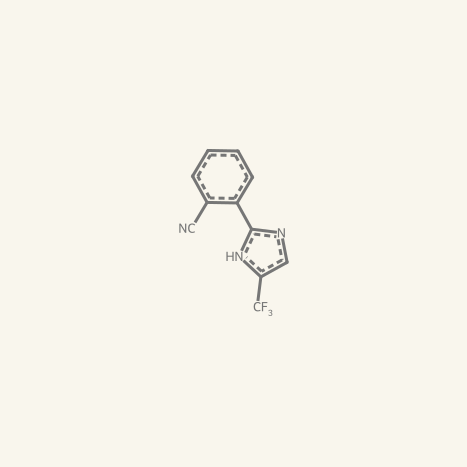 N#Cc1ccccc1-c1ncc(C(F)(F)F)[nH]1